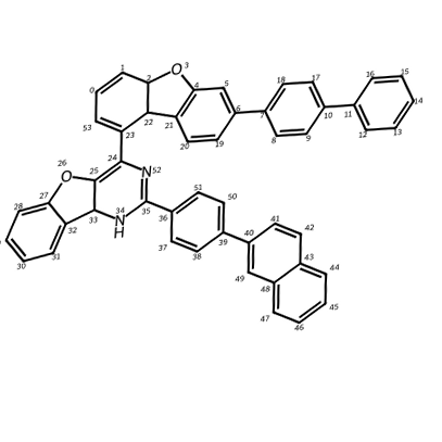 C1=CC2Oc3cc(-c4ccc(-c5ccccc5)cc4)ccc3C2C(C2=C3Oc4ccccc4C3NC(c3ccc(-c4ccc5ccccc5c4)cc3)=N2)=C1